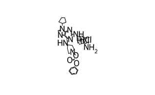 Cl.Cl.N[C@H]1CC[C@H](Nc2nc(NC3CCN(OC(=O)Oc4ccccc4)CC3)c3ncn(C4CCCC4)c3n2)CC1